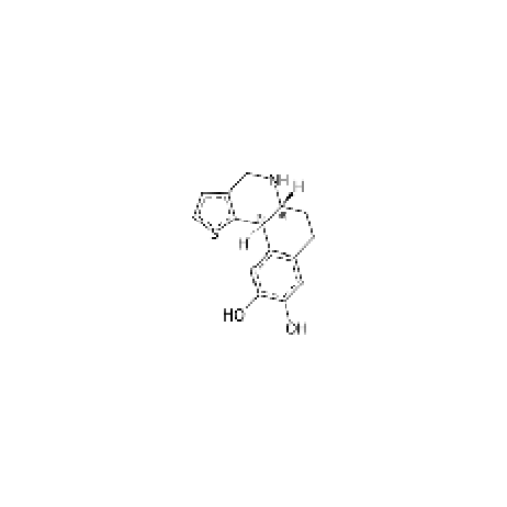 Oc1cc2c(cc1O)[C@H]1c3sccc3CN[C@@H]1CC2